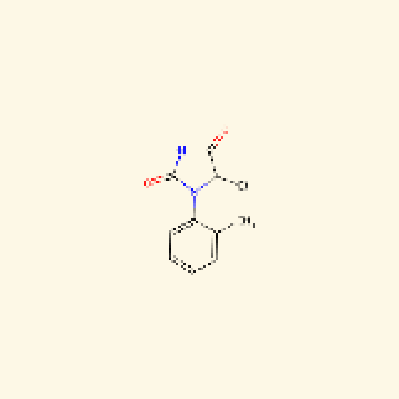 CCC1C(=O)[N]C(=O)N1c1ccccc1C